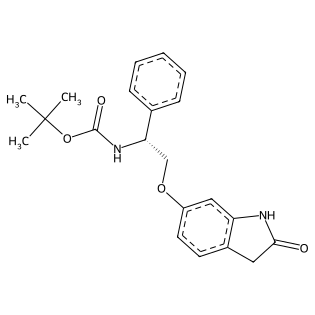 CC(C)(C)OC(=O)N[C@@H](COc1ccc2c(c1)NC(=O)C2)c1ccccc1